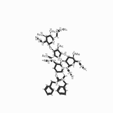 CO[C@H]1C(N=[N+]=[N-])OC(N=[N+]=[N-])[C@@H](O[C@H]2O[C@H](CN(Cc3ccccc3)C(=O)OCc3ccccc3)CCC2N=[N+]=[N-])[C@@H]1O[C@@H]1O[C@H](COC(C)=O)[C@@H](O[C@H]2O[C@@H](CN=[N+]=[N-])[C@@H](OC(C)=O)[C@H](OC(C)=O)C2N=[N+]=[N-])[C@H]1OC(C)=O